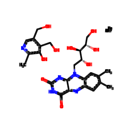 Cc1cc2nc3c(=O)[nH]c(=O)nc-3n(C[C@@H](O)[C@@H](O)[C@@H](O)CO)c2cc1C.Cc1ncc(CO)c(CO)c1O.[Fe].[Mn]